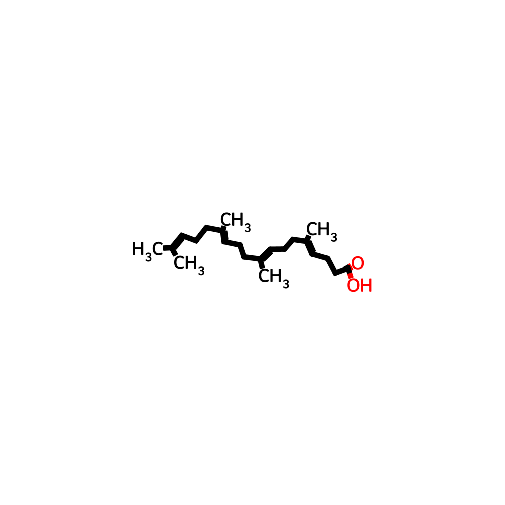 CC(C)=CCCC(C)=CCCC(C)=CCCC(C)=CCCC(=O)O